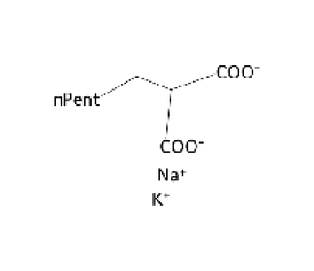 CCCCCCC(C(=O)[O-])C(=O)[O-].[K+].[Na+]